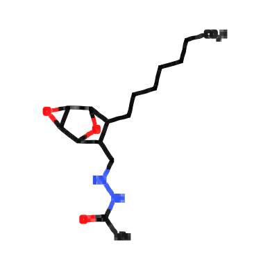 CCCCC(=O)NNCC1C(CCCCCCC(=O)O)C2OC1C1OC21